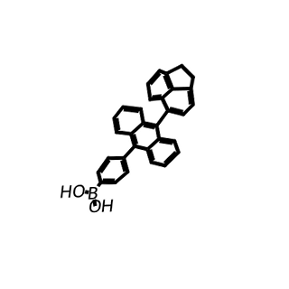 OB(O)c1ccc(-c2c3ccccc3c(-c3ccc4c5c(cccc35)CC4)c3ccccc23)cc1